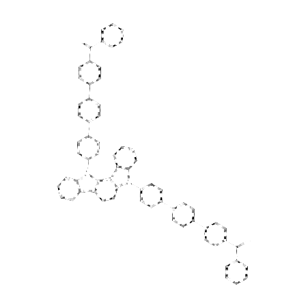 O=C(c1ccccc1)c1ccc(-c2ccc(-c3ccc(-n4c5ccccc5c5c4ccc4c6ccccc6n(-c6ccc(-c7ccc(-c8ccc(C(=O)c9ccccc9)cc8)cc7)cc6)c45)cc3)cc2)cc1